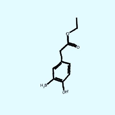 Bc1cc(CC(=O)OCC)ccc1O